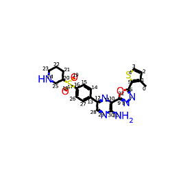 Cc1ccsc1-c1nnc(-c2nc(-c3ccc(S(=O)(=O)C4CCCNC4)cc3)cnc2N)o1